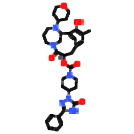 Cc1cc2cc(c1O)C1CN(CCCN1C1CCOCC1)C(=O)[C@H](OC(=O)N1CCC(n3nc(-c4ccccc4)[nH]c3=O)CC1)C2